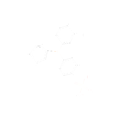 O=S(=O)(O)O.[HH].c1ccc(P(c2ccccc2)c2ccccc2)cc1